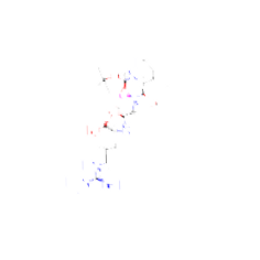 CC[C@H](C)[C@H](NC(=O)OC(C)(C)C)C(=O)NCC(=O)N[C@@H](CCCNC(=N)N)C(=O)O